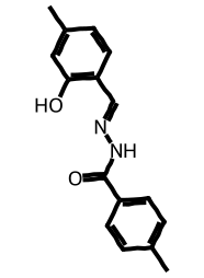 Cc1ccc(C(=O)N/N=C/c2ccc(C)cc2O)cc1